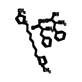 Cn1cc[n+](CCCCCCCC[n+]2ccn(C)c2)c1.NC(Cc1ccccc1)C(=O)O.NC(Cc1ccccc1)C(=O)O